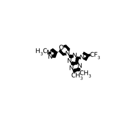 Cc1nc2nc(N3CCO[C@@H](c4cnn(C)c4)C3)nc(N3CC(C(F)(F)F)C3)c2nc1C